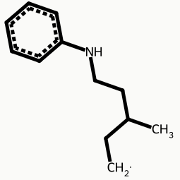 [CH2]CC(C)CCNc1ccccc1